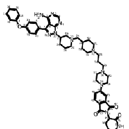 Nc1ncnc2c1c(-c1ccc(Oc3ccccc3)cc1)nn2C1CCCN(CC2CCN(CCCN3CCN(c4ccc5c(c4)C(=O)N(C4CCC(=O)NC4=O)C5=O)CC3)CC2)C1